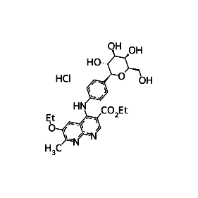 CCOC(=O)c1cnc2nc(C)c(OCC)cc2c1Nc1ccc([C@@H]2O[C@H](CO)[C@H](O)[C@H](O)[C@H]2O)cc1.Cl